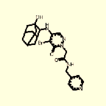 O=C(Cn1ncc(NC2C3CC4CC(C3)CC2(O)C4)c(Br)c1=O)NCc1ccncc1